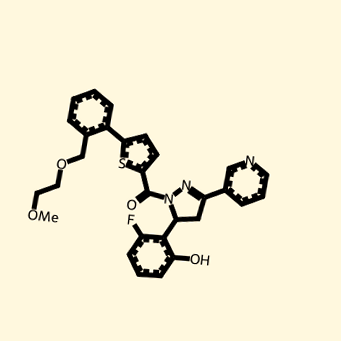 COCCOCc1ccccc1-c1ccc(C(=O)N2N=C(c3cccnc3)CC2c2c(O)cccc2F)s1